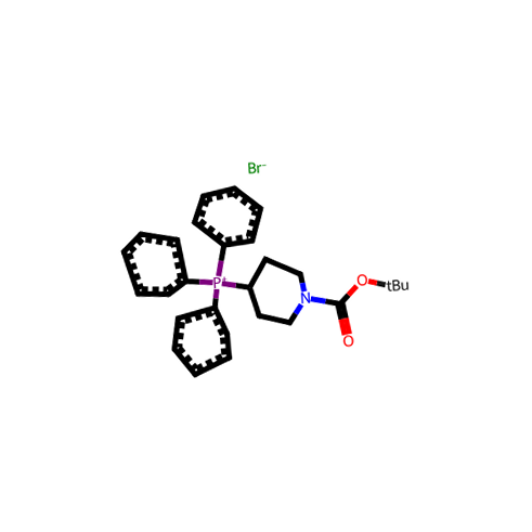 CC(C)(C)OC(=O)N1CCC([P+](c2ccccc2)(c2ccccc2)c2ccccc2)CC1.[Br-]